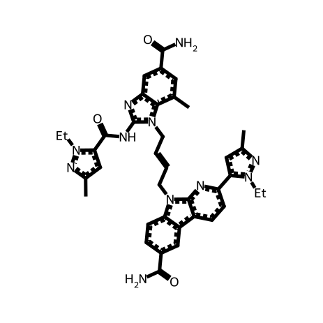 CCn1nc(C)cc1C(=O)Nc1nc2cc(C(N)=O)cc(C)c2n1CC=CCn1c2ccc(C(N)=O)cc2c2ccc(-c3cc(C)nn3CC)nc21